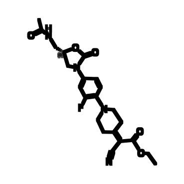 CCOC(=O)C(C#N)=C1CCN(c2ccc(N3C[C@H](CNC(C)=O)OC3=O)cc2F)CC1